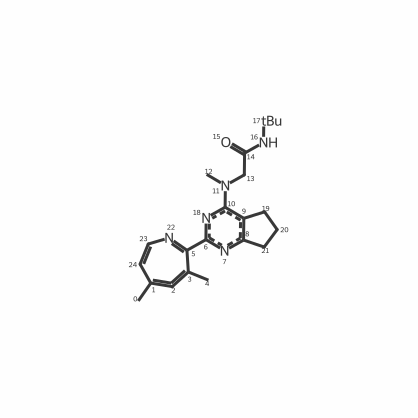 CC1=C=C(C)C(c2nc3c(c(N(C)CC(=O)NC(C)(C)C)n2)CCC3)=NC=C1